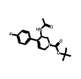 CC(=O)NC1CN(C(=O)OC(C)(C)C)CC=C1c1ccc(F)cc1